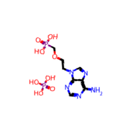 Nc1ncnc2c1ncn2CCOCP(=O)(O)O.O=P(O)(O)O